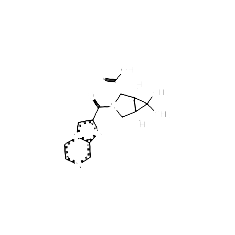 CC1(C)[C@@H]2[C@@H](C(=O)O)N(C(=O)c3cn4ccncc4n3)C[C@@H]21